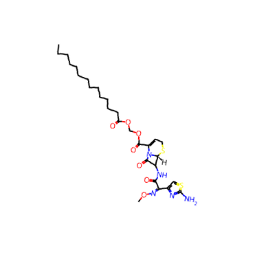 CCCCCCCCCCCCCC(=O)OCOC(=O)C1=CCS[C@@H]2C(NC(=O)/C(=N\OC)c3csc(N)n3)C(=O)N12